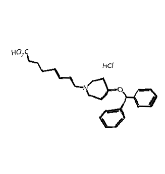 Cl.O=C(O)CCCCCCCN1CCC(OC(c2ccccc2)c2ccccc2)CC1